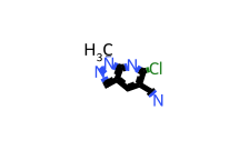 Cn1ncc2cc(C#N)c(Cl)nc21